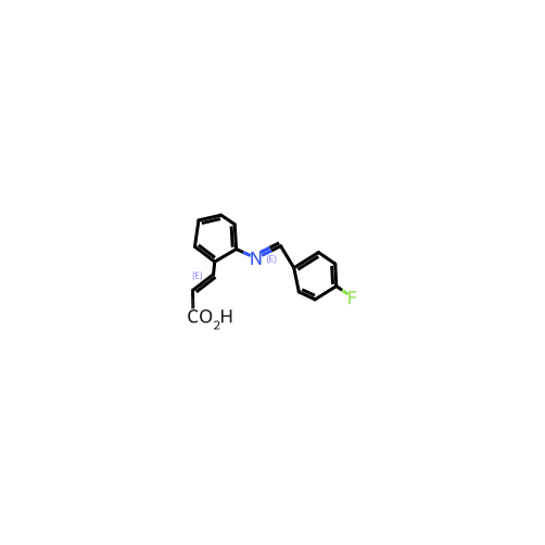 O=C(O)/C=C/c1ccccc1/N=C/c1ccc(F)cc1